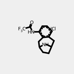 Cl.O=C(Nc1cccc2c1CC1CCC(CN1)C2)C(F)(F)F